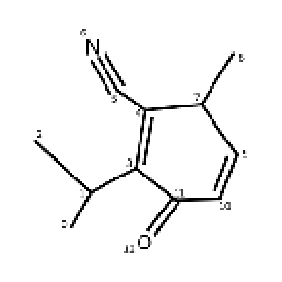 CC(C)C1=C(C#N)C(C)C=CC1=O